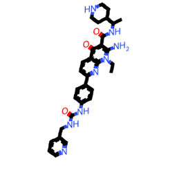 CCn1c(N)c(C(=O)NC(C)C2CCNCC2)c(=O)c2ccc(-c3ccc(NC(=O)NCc4cccnc4)cc3)nc21